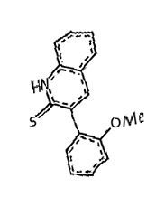 COc1ccccc1-c1cc2ccccc2[nH]c1=S